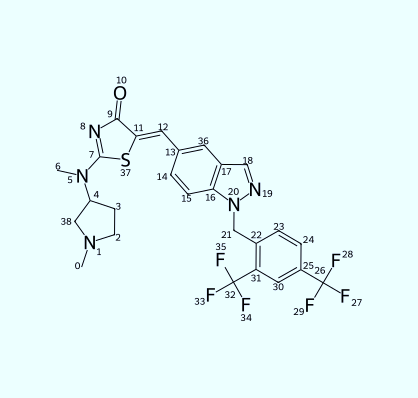 CN1CCC(N(C)C2=NC(=O)/C(=C/c3ccc4c(cnn4Cc4ccc(C(F)(F)F)cc4C(F)(F)F)c3)S2)C1